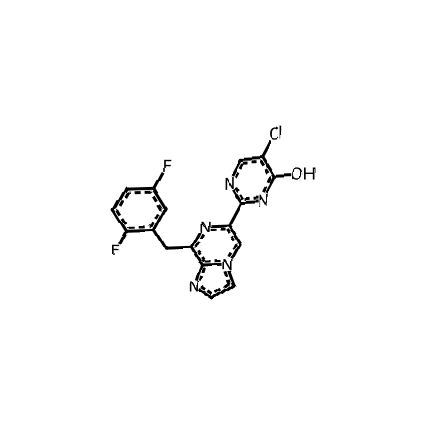 Oc1nc(-c2cn3ccnc3c(Cc3cc(F)ccc3F)n2)ncc1Cl